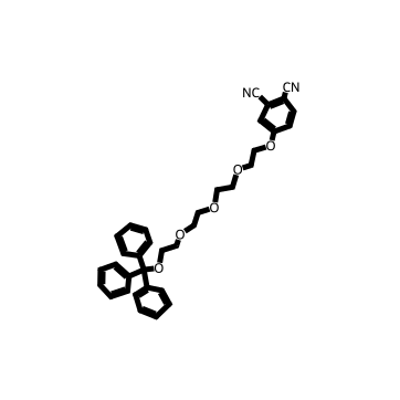 N#Cc1ccc(OCCOCCOCCOCCOC(c2ccccc2)(c2ccccc2)c2ccccc2)cc1C#N